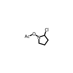 CC(=O)ON1CCCC1Cl